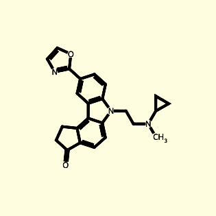 CN(CCn1c2ccc(-c3ncco3)cc2c2c3c(ccc21)C(=O)CC3)C1CC1